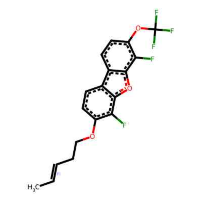 C/C=C/CCOc1ccc2c(oc3c(F)c(OC(F)(F)F)ccc32)c1F